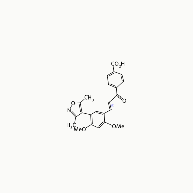 COc1cc(OC)c(-c2c(C)noc2C)cc1/C=C/C(=O)c1ccc(C(=O)O)cc1